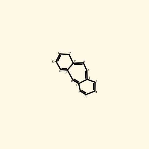 [C]1=c2ccccc2=CC=C2CC=CC=C12